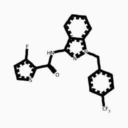 O=C(Nc1nn(Cc2ccc(C(F)(F)F)cc2)c2ccccc12)c1sccc1F